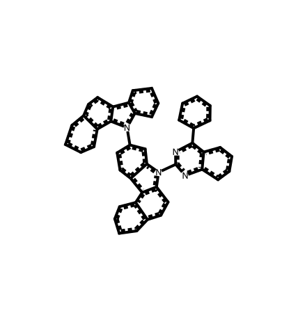 c1ccc(-c2nc(-n3c4cc(-n5c6ccccc6c6ccc7ccccc7c65)ccc4c4c5ccccc5ccc43)nc3ccccc23)cc1